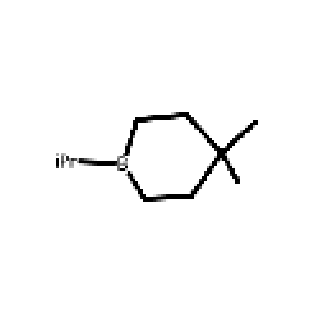 CC(C)B1CCC(C)(C)CC1